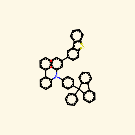 c1ccc(-c2ccccc2N(c2ccc(C3(c4ccccc4)c4ccccc4-c4ccccc43)cc2)c2cccc(-c3ccc4sc5ccccc5c4c3)c2)cc1